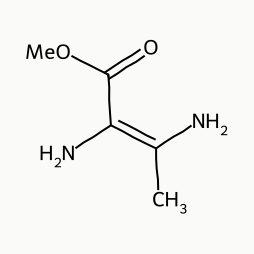 COC(=O)/C(N)=C(/C)N